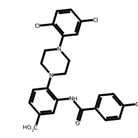 O=C(O)c1ccc(N2CCN(c3cc(Cl)ccc3Cl)CC2)c(NC(=O)c2ccc(Cl)cc2)c1